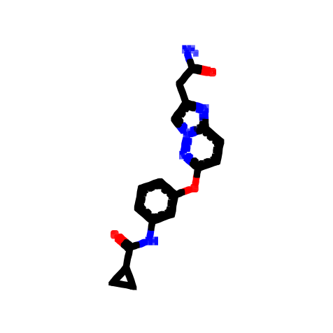 NC(=O)Cc1cn2nc(Oc3cccc(NC(=O)C4CC4)c3)ccc2n1